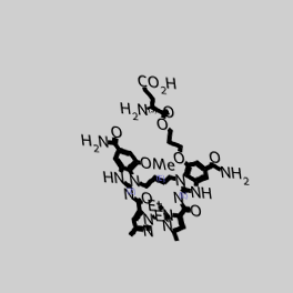 CCn1nc(C)cc1C(=O)/N=c1/[nH]c2cc(C(N)=O)cc(OC)c2n1C/C=C/Cn1/c(=N/C(=O)c2cc(C)nn2CC)[nH]c2cc(C(N)=O)cc(OCCCOC(=O)[C@@H](N)CCC(=O)O)c21